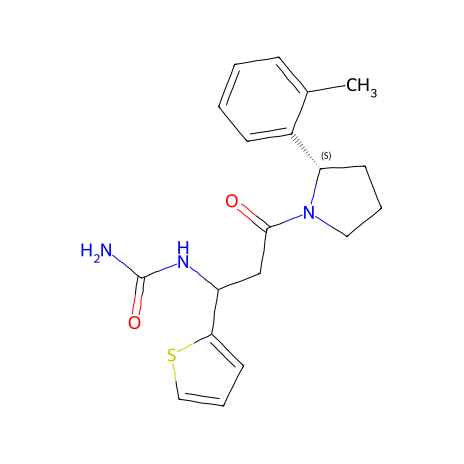 Cc1ccccc1[C@@H]1CCCN1C(=O)CC(NC(N)=O)c1cccs1